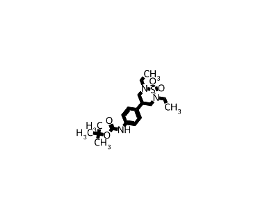 CCN1CC(c2ccc(NC(=O)OC(C)(C)C)cc2)CN(CC)S1(=O)=O